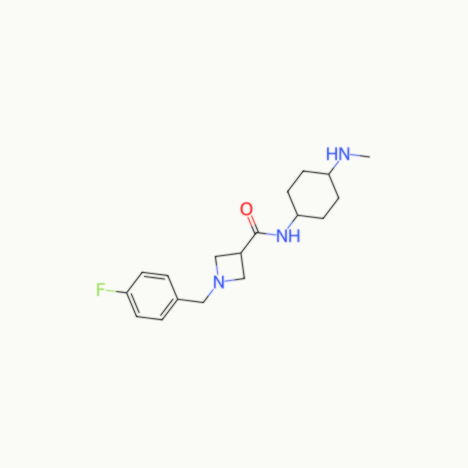 CNC1CCC(NC(=O)C2CN(Cc3ccc(F)cc3)C2)CC1